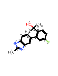 Cc1nc2cc(-c3cc(F)ccc3C(C)(C)O)ccc2[nH]1